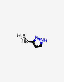 BBc1cc[nH]n1